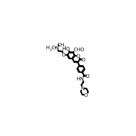 CN(C)CCOc1cc2cc(-c3ccc(C(=O)NCCN4CCOCC4)cc3)c(=O)oc2c(C=O)c1O